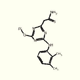 CCOc1nc(CC(N)=S)nc(Nc2cccc(C)c2C)n1